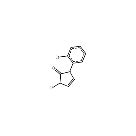 CCc1ccccc1N1C=CC(Cl)C1=O